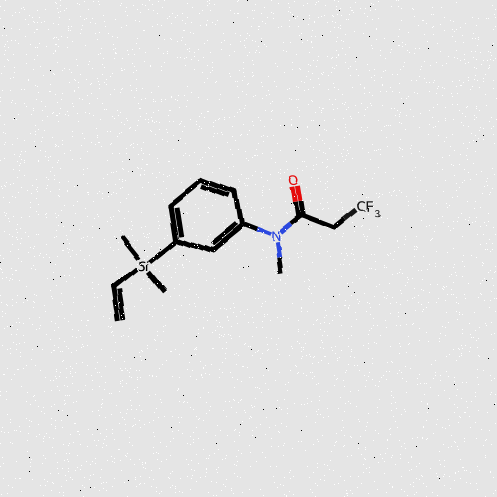 C=C[Si](C)(C)c1cccc(N(C)C(=O)CC(F)(F)F)c1